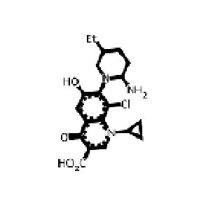 CCC1CCC(N)N(c2c(O)cc3c(=O)c(C(=O)O)cn(C4CC4)c3c2Cl)C1